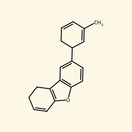 CC1=CC(c2ccc3oc4c(c3c2)CCC=C4)CC=C1